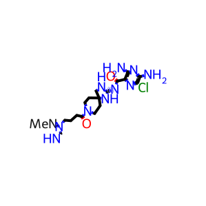 CNN(C=N)CCCC(=O)N1CCC2(CC1)CN/C(=N\C(=O)c1nc(Cl)c(N)nc1N)N2